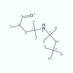 CC(C=O)CC(C)(C)NC(C)(C)CC(C)(C)C